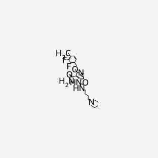 Cc1ccc(COc2nsc(NC(=O)NCCCCN3CCCCC3)c2C(N)=O)c(F)c1F